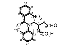 O=CCC(CN(C(=O)c1ccccc1[N+](=O)[O-])c1ccccc1F)NC(=O)O